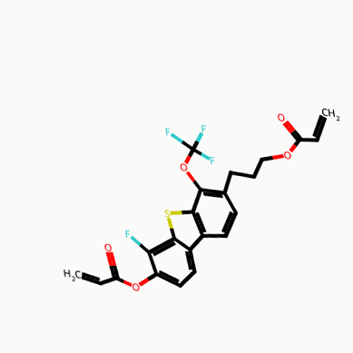 C=CC(=O)OCCCc1ccc2c(sc3c(F)c(OC(=O)C=C)ccc32)c1OC(F)(F)F